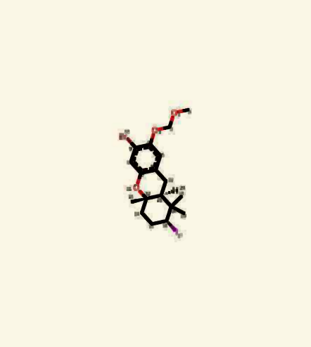 COCOc1cc2c(cc1Br)O[C@@]1(C)CC[C@H](I)C(C)(C)[C@@H]1C2